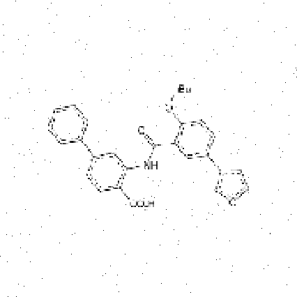 CCCCOc1ccc(-c2ccoc2)cc1C(=O)Nc1cc(-c2ccccc2)ccc1C(=O)O